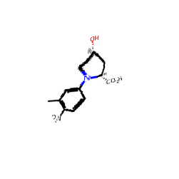 Cc1cc(N2C[C@H](O)C[C@@H]2C(=O)O)ccc1[N+](=O)[O-]